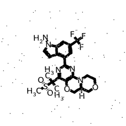 CC(C)(c1nc(-c2cc(C(F)(F)F)cc3c2ccn3N)nc2c1OC[C@@H]1COCCN21)S(C)(=O)=O